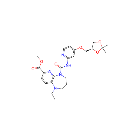 CCN1CCCN(C(=O)Nc2cc(OC[C@H]3COC(C)(C)O3)ccn2)c2nc(C(=O)OC)ccc21